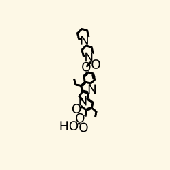 CCc1cc2n(c(=O)c1COC(=O)O)Cc1c-2nc2ccc(OC(=O)N3CCC(N4CCCCC4)CC3)cc2c1CC